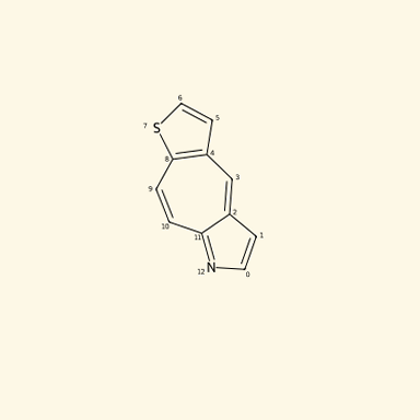 c1cc2cc3ccsc3ccc-2n1